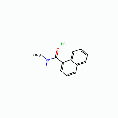 CN(C(=O)O)C(=O)c1cccc2ccccc12.Cl